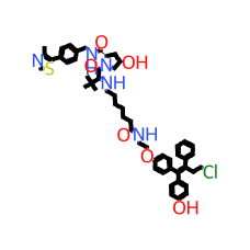 Cc1ncsc1-c1ccc(CNC(=O)[C@@H]2C[C@@H](O)CN2C(=O)C(NCCCCCCC(=O)NCCOc2ccc(C(=C(CCCl)c3ccccc3)c3ccc(O)cc3)cc2)C(C)(C)C)cc1